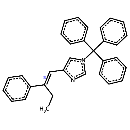 CC/C(=C\c1cn(C(c2ccccc2)(c2ccccc2)c2ccccc2)cn1)c1ccccc1